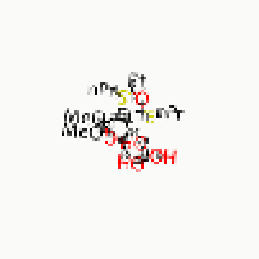 CCCSC(CC)OC(CC)SCCC.CO[Si]1(OC)CCCC(C)O1.OB(O)O